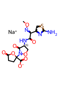 CON=C(C(=O)N[C@H]1CON(C2(C(=O)[O-])CCC(=O)O2)C1=O)c1csc(N)n1.[Na+]